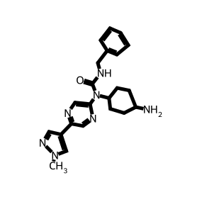 Cn1cc(-c2cnc(N(C(=O)NCc3ccccc3)C3CCC(N)CC3)cn2)cn1